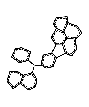 c1ccc(N(c2ccc3c(c2)-c2cc4cccc5ccc6ccc-3c2c6c54)c2cccc3ccccc23)cc1